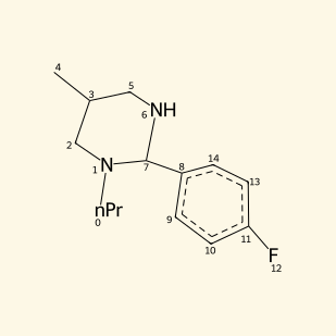 CCCN1CC(C)CNC1c1ccc(F)cc1